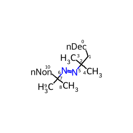 CCCCCCCCCCCC(C)(C)N=NC(C)(C)CCCCCCCCC